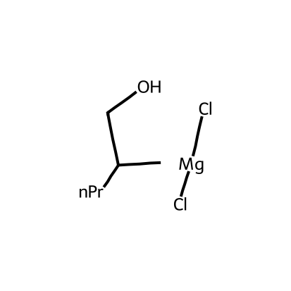 CCCC(C)CO.[Cl][Mg][Cl]